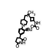 CN(CC1CCN(c2ccc(C3CCC(=O)NC3=O)cc2F)CC1)C1CC(NC(=O)OC(C)(C)C)C1